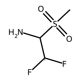 CS(=O)(=O)C(N)[C](F)F